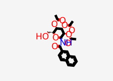 CC(=O)O[C@H]1[C@H](OC(C)=O)[C@@H](OC(C)=O)C(NC(=O)c2ccc3ccccc3c2)O[C@@H]1CO